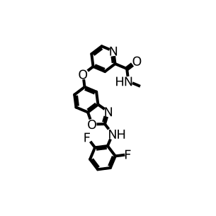 CNC(=O)c1cc(Oc2ccc3oc(Nc4c(F)cccc4F)nc3c2)ccn1